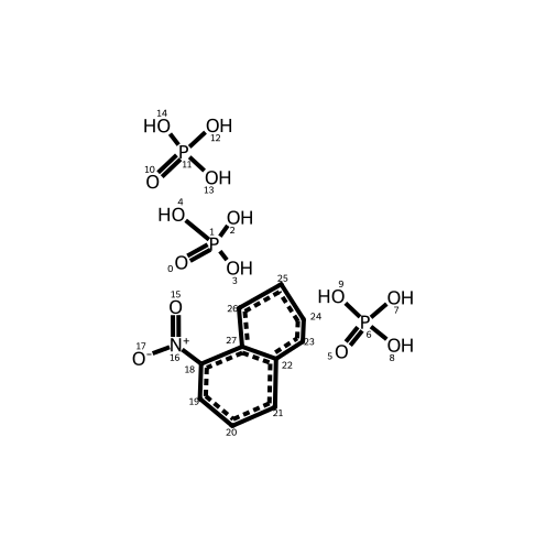 O=P(O)(O)O.O=P(O)(O)O.O=P(O)(O)O.O=[N+]([O-])c1cccc2ccccc12